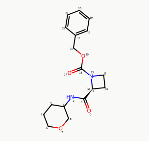 O=C(NC1CCCOC1)[C@@H]1CCN1C(=O)OCc1ccccc1